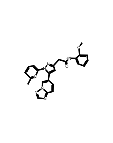 COc1ccccc1NC(=O)Cc1cc(-c2ccc3ncnn3c2)n(-c2cccc(C)n2)n1